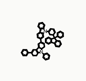 C1=CC(C2(c3ccccc3)c3ccccc3-c3ccccc32)CC(n2c3ccccc3c3ccc(C4=CCC5C(=C4)C4=C(CCC(c6ccccc6)=C4)N5c4ccccc4)cc32)=C1